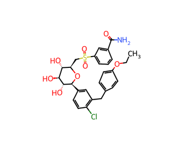 CCOc1ccc(Cc2cc([C@@H]3O[C@H](CS(=O)(=O)c4cccc(C(N)=O)c4)[C@@H](O)[C@H](O)[C@H]3O)ccc2Cl)cc1